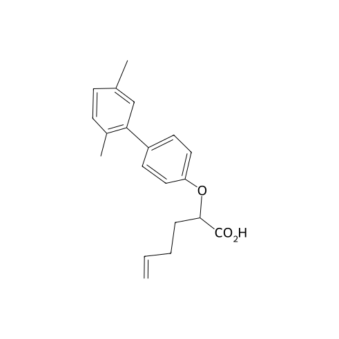 C=CCCC(Oc1ccc(-c2cc(C)ccc2C)cc1)C(=O)O